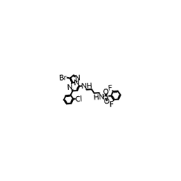 O=S(=O)(NCCCCNc1cc(-c2ccccc2Cl)nc2c(Br)cnn12)c1c(F)cccc1F